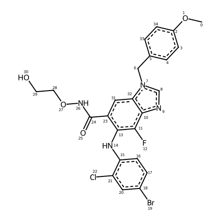 COc1ccc(Cn2cnc3c(F)c(Nc4ccc(Br)cc4Cl)c(C(=O)NOCCO)cc32)cc1